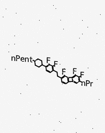 CCCCCC1CCC(c2ccc(CCc3ccc4c(c3F)-c3c-4cc(CCC)c(F)c3F)c(F)c2F)CC1